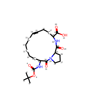 CC(C)(C)OC(=O)NC1CCCCCC=CCCC(C(=O)O)NC(=O)C2CCCN2C1=O